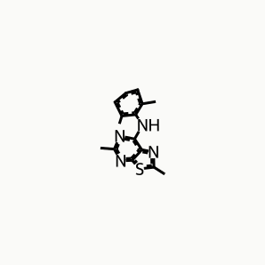 Cc1nc(Nc2c(C)cccc2C)c2nc(C)sc2n1